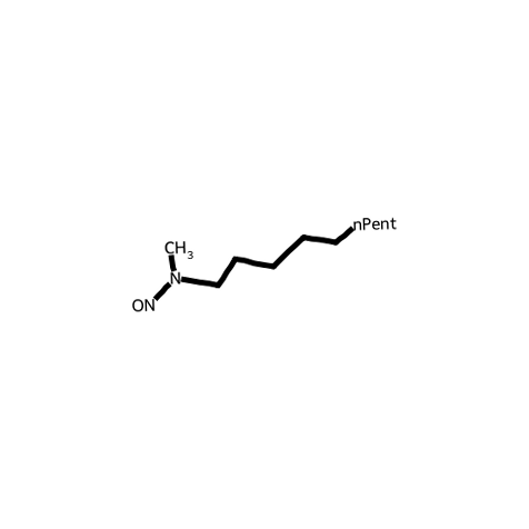 CCCCCCCCCCN(C)N=O